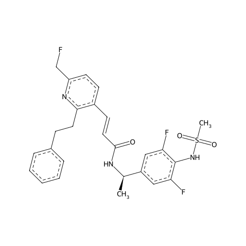 C[C@@H](NC(=O)/C=C/c1ccc(CF)nc1CCc1ccccc1)c1cc(F)c(NS(C)(=O)=O)c(F)c1